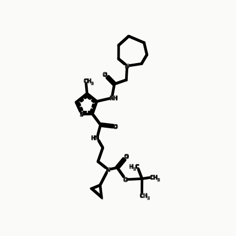 Cc1csc(C(=O)NCCN(C(=O)OC(C)(C)C)C2CC2)c1NC(=O)CN1CCCCCC1